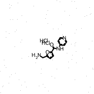 Cl.Cl.NCc1ccc(C(=O)Nc2ccncc2)o1